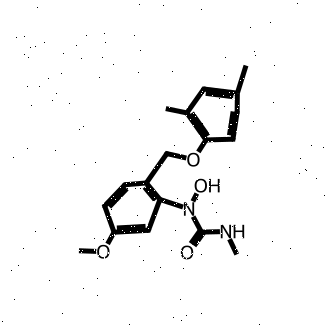 CNC(=O)N(O)c1cc(OC)ccc1COc1ccc(C)cc1C